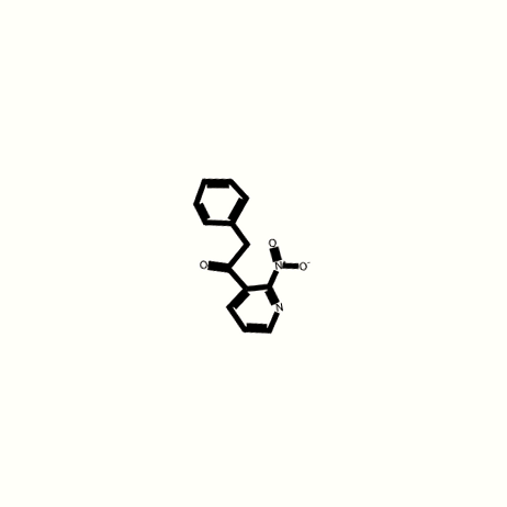 O=C(Cc1ccccc1)c1cccnc1[N+](=O)[O-]